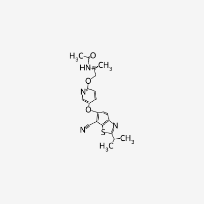 CC(=O)N[C@@H](C)COc1ccc(Oc2ccc3nc(C(C)C)sc3c2C#N)cn1